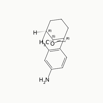 C[C@@]12OCCC[C@@]13CCC[C@@H]2Cc1cc(N)ccc13